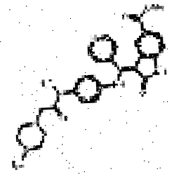 COC(=O)c1ccc2c(c1)/C(=C(/Nc1ccc(N(C)C(=O)CN3CCN(C)CC3)cc1)c1ccncc1)C(=O)N2